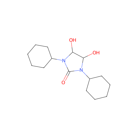 O=C1N(C2CCCCC2)C(O)C(O)N1C1CCCCC1